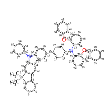 CC1(C)c2ccccc2-c2cc3c4cc(C5=CCC(N(c6cccc7c6oc6ccccc67)c6cccc7c6oc6ccccc67)C=C5)ccc4n(-c4ccccc4)c3cc21